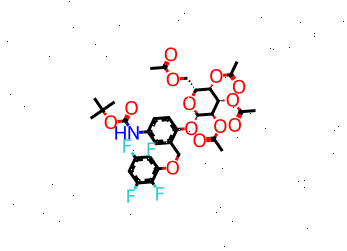 CC(=O)OC[C@H]1O[C@@H](Oc2ccc(NC(=O)OC(C)(C)C)cc2COc2c(F)c(F)cc(F)c2F)[C@H](OC(C)=O)[C@@H](OC(C)=O)[C@H]1OC(C)=O